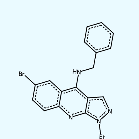 CCn1ncc2c(NCc3ccccc3)c3cc(Br)ccc3nc21